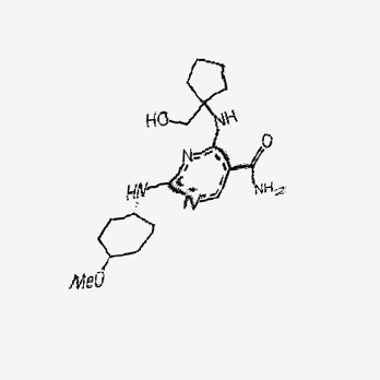 CO[C@H]1CC[C@H](Nc2ncc(C(N)=O)c(NC3(CO)CCCC3)n2)CC1